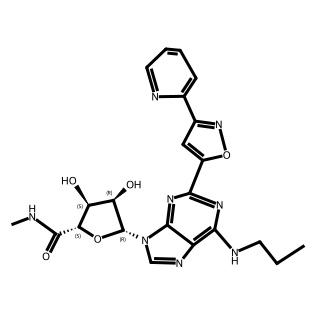 CCCNc1nc(-c2cc(-c3ccccn3)no2)nc2c1ncn2[C@@H]1O[C@H](C(=O)NC)[C@@H](O)[C@H]1O